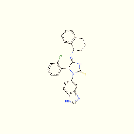 S=C1NC(=NC2CCCc3ccccc32)C(c2ccccc2Cl)N1c1ccc2[nH]cnc2c1